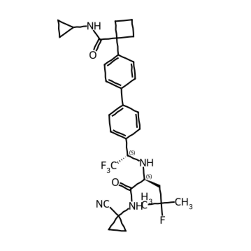 CC(C)(F)C[C@H](N[C@@H](c1ccc(-c2ccc(C3(C(=O)NC4CC4)CCC3)cc2)cc1)C(F)(F)F)C(=O)NC1(C#N)CC1